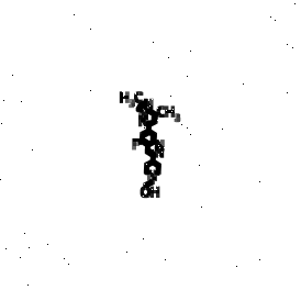 Cc1cn2nc(-c3cc(F)c4cc(C5CCN(CCO)CC5)nnc4c3)cc(C)c2n1